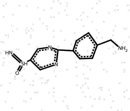 N=[SH](=O)c1cnc(-c2ccc(CN)cc2)nc1